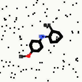 CCOc1ccc(Nc2ccccc2[N+](=O)[O-])cc1